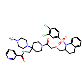 CN1CCN(C2(CNC(=O)c3cccnc3)CCN(C(=O)COCC3CCc4ccccc4N3S(=O)(=O)c3ccc(Cl)c(Cl)c3)CC2)CC1